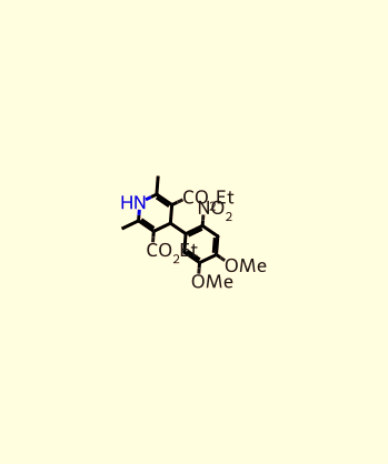 CCOC(=O)C1=C(C)NC(C)=C(C(=O)OCC)C1c1cc(OC)c(OC)cc1[N+](=O)[O-]